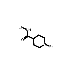 CCNC(=O)C1CCN(CC)CC1